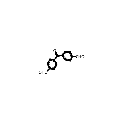 O=[C]c1ccc(C(=O)c2ccc([C]=O)cc2)cc1